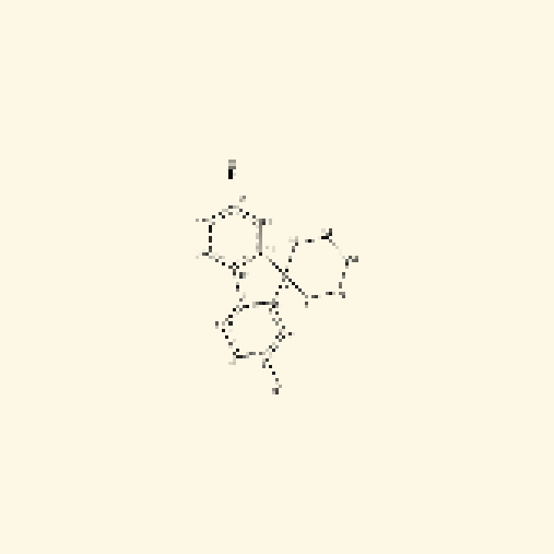 Cc1ccc2c(c1)C1(CCCCC1)c1cc(F)ccc1-2